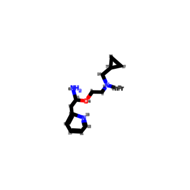 CCCN(CCOC(N)Cc1ccccn1)CC1CC1